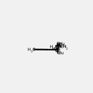 C=CCC1O[C@H](OC[C@H](NC(=O)C#CC#CC#CC#CC#CC#CC#CC#CC#CC#CC#CC#CC)[C@H](F)CCCC(C)(C)C)[C@@H](C=C)C(C=C)[C@H]1C=C